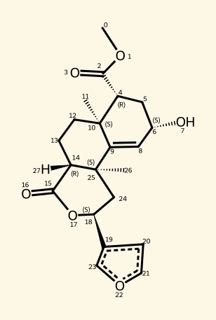 COC(=O)[C@@H]1C[C@H](O)C=C2[C@@]1(C)CC[C@H]1C(=O)O[C@H](c3ccoc3)C[C@]21C